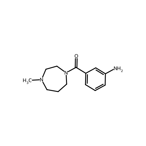 CN1CCCN(C(=O)c2cccc(N)c2)CC1